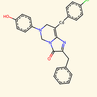 O=C1C(Cc2ccccc2)=NC2=[C]([Cd][c]3ccc(Cl)cc3)CN(c3ccc(O)cc3)CN12